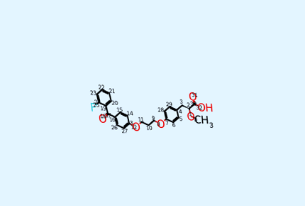 CO[C@@H](Cc1ccc(OCCCOc2ccc(C(=O)c3ccccc3F)cc2)cc1)C(=O)O